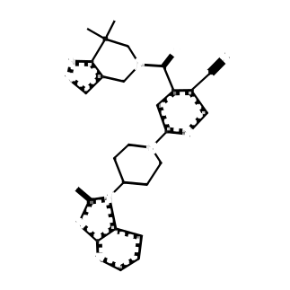 CC1(C)CN(C(=O)c2cc(N3CCC(n4c(=O)[nH]c5ncccc54)CC3)ncc2C#N)Cc2cn[nH]c21